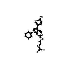 O=c1ccc(-c2cn(C3CCCCC3)c3nc(NCCOC(F)F)ncc23)c[nH]1